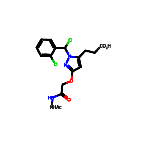 CC(=O)NNC(=O)COc1cc(CCC(=O)O)n(C(Cl)c2ccccc2Cl)n1